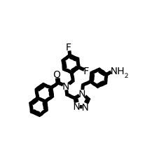 Nc1ccc(Cn2cnnc2CN(Cc2ccc(F)cc2F)C(=O)c2ccc3ccccc3c2)cc1